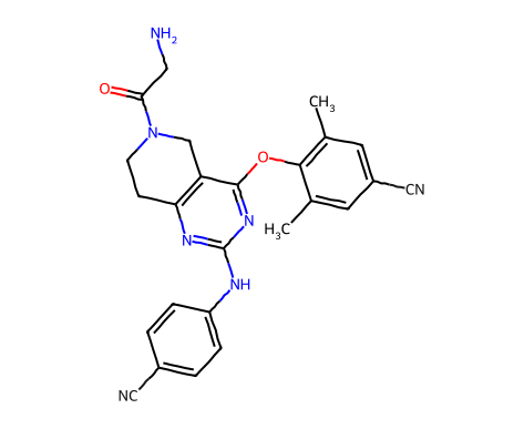 Cc1cc(C#N)cc(C)c1Oc1nc(Nc2ccc(C#N)cc2)nc2c1CN(C(=O)CN)CC2